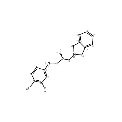 O[C@H](CNc1ccc(F)c(F)c1)CN1Cc2ccccc2C1